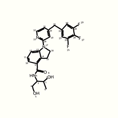 CC(O)C(CO)NC(=O)c1cccc2c1CCN2c1cc(Cc2cc(F)c(F)c(F)c2)ccn1